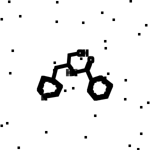 O=C(NC(CO)Cc1ccncc1)c1ccccc1